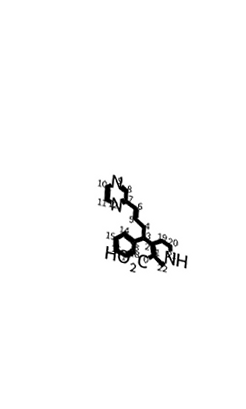 O=C(O)C1=C(C(CC=Cc2cnccn2)c2ccccc2)CCNC1